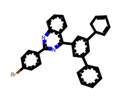 Brc1ccc(-c2nc(-c3cc(-c4ccccc4)cc(C4C=CC=CC4)c3)c3ccccc3n2)cc1